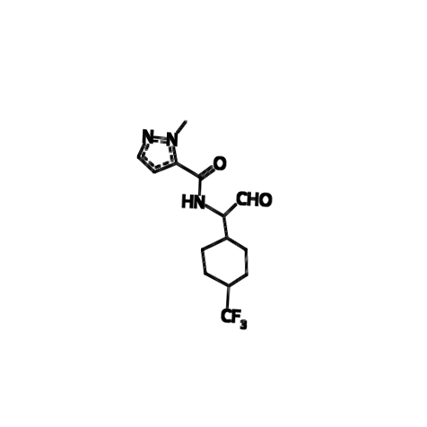 Cn1nccc1C(=O)NC(C=O)C1CCC(C(F)(F)F)CC1